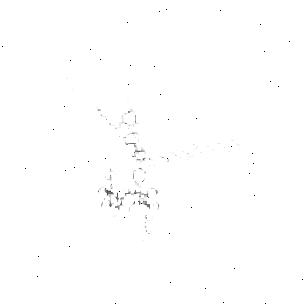 CCCCCCCCCCCCCCCCc1cc(-c2cc(CCCCCCCCCCCCCCCC)c(-c3ccc(C4=c5cc6c(cc5N(C(=O)CCCCC)C4=O)=C(C)C(=O)N6C(=O)CCCCC)cc3)s2)sc1-c1ccc(C)cc1